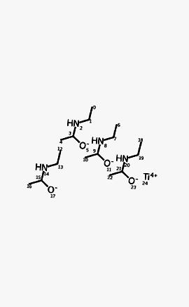 CCNC(C)[O-].CCNC(C)[O-].CCNC(C)[O-].CCNC(C)[O-].[Ti+4]